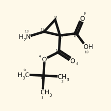 CC(C)(C)OC(=O)C1(C(=O)O)CC1N